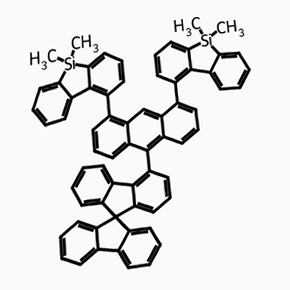 C[Si]1(C)c2ccccc2-c2c(-c3cccc4c(-c5cccc6c5-c5ccccc5C65c6ccccc6-c6ccccc65)c5cccc(-c6cccc7c6-c6ccccc6[Si]7(C)C)c5cc34)cccc21